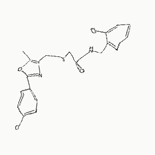 Cc1oc(-c2ccc(Cl)cc2)nc1CSCC(=O)NCc1ccccc1Cl